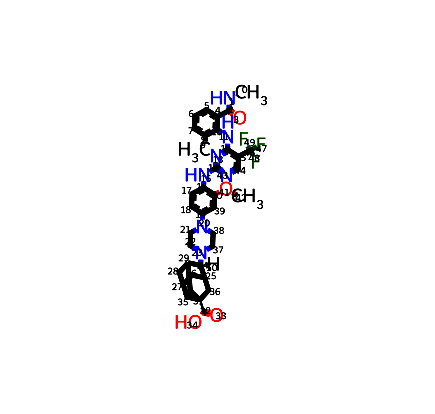 CNC(=O)c1cccc(C)c1Nc1nc(Nc2ccc(N3CCN([C@H]4C5CC6CC4C[C@@](C(=O)O)(C6)C5)CC3)cc2OC)ncc1C(F)(F)F